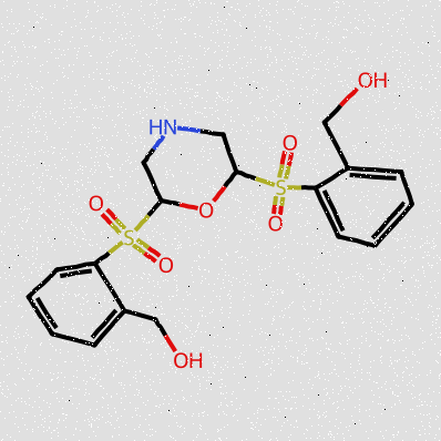 O=S(=O)(c1ccccc1CO)C1CNCC(S(=O)(=O)c2ccccc2CO)O1